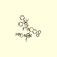 C=C(/N=C\C(=C/C)N[C@H]1CCNC1)[C@@H]1c2cc3c(cc2C[C@@H](C)N1CC(F)(F)CO[Si](c1ccccc1)(c1ccccc1)C(C)(C)C)OCO3